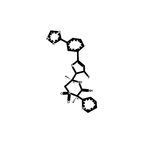 C[C@@]1(c2ccccn2)C(=N)N[C@](C)(C2SC(c3cccc(-c4nnco4)c3)=CC2F)CS1(=O)=O